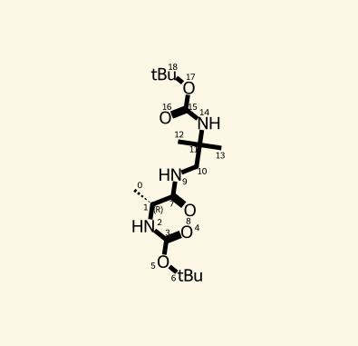 C[C@@H](NC(=O)OC(C)(C)C)C(=O)NCC(C)(C)NC(=O)OC(C)(C)C